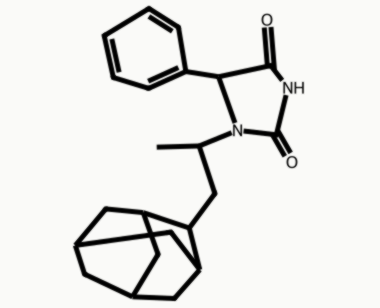 CC(CC1C2CC3CC(C2)CC1C3)N1C(=O)NC(=O)C1c1ccccc1